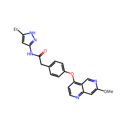 CCc1cc(NC(=O)Cc2ccc(Oc3ccnc4cc(OC)ncc34)cc2)n[nH]1